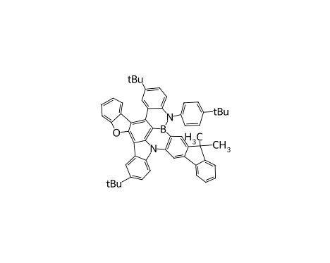 CC(C)(C)c1ccc(N2B3c4cc5c(cc4-n4c6ccc(C(C)(C)C)cc6c6c7oc8ccccc8c7c(c3c64)-c3cc(C(C)(C)C)ccc32)-c2ccccc2C5(C)C)cc1